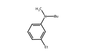 CCc1cccc(N(C)C(C)CC)c1